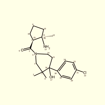 CC1(C)CN(C(=O)[C@H]2CCC[C@@]2(C)N)CCC1(O)c1ccc(Cl)cc1